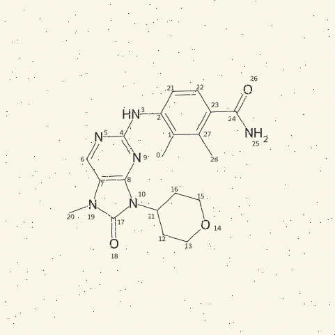 Cc1c(Nc2ncc3c(n2)n(C2CCOCC2)c(=O)n3C)ccc(C(N)=O)c1C